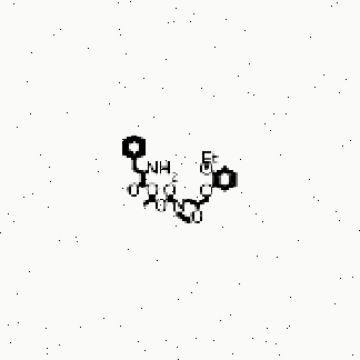 CCOc1ccccc1OCC1CN(C(=O)OC(C)OC(=O)C(N)Cc2ccccc2)CCO1